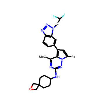 [2H]c1cc(-c2ccc3nnn(CC(F)F)c3c2)c2c(OC)nc(NC3CCC4(CC3)COC4)nn12